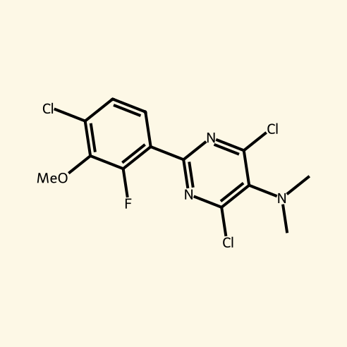 COc1c(Cl)ccc(-c2nc(Cl)c(N(C)C)c(Cl)n2)c1F